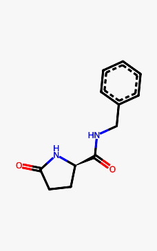 O=C1CC[C@H](C(=O)NCc2ccccc2)N1